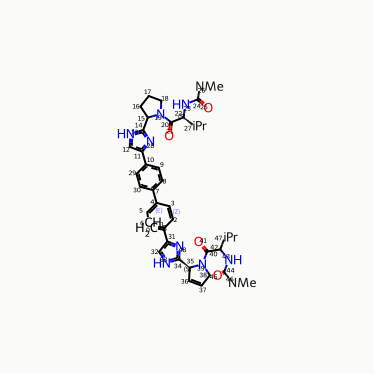 C=C(/C=C\C(=C/C)c1ccc(-c2c[nH]c(C3CCCN3C(=O)[C@@H](NC(=O)NC)C(C)C)n2)cc1)c1c[nH]c([C@@H]2C=CCN2C(=O)C(NC(=O)NC)C(C)C)n1